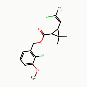 CC1(C)C(C=C(Cl)C(F)(F)F)C1C(=O)OCc1cccc(OC(F)(F)F)c1F